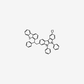 Clc1ccc2c(c1)c1c3ccc(CC(c4ccccc4)c4cccc5c4sc4ccccc45)cc3n(-c3ccccc3)c1n2-c1ccccc1